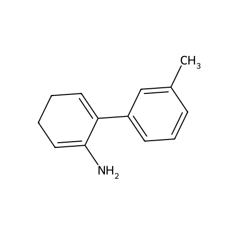 Cc1cccc(C2=CCCC=C2N)c1